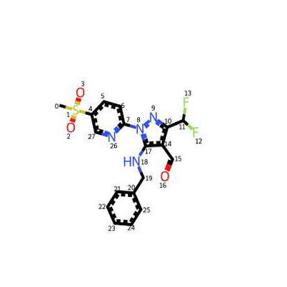 CS(=O)(=O)c1ccc(-n2nc(C(F)F)c(C=O)c2NCc2ccccc2)nc1